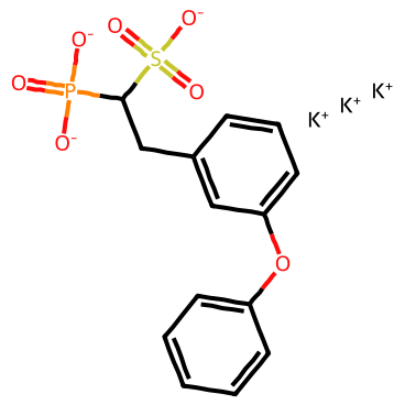 O=P([O-])([O-])C(Cc1cccc(Oc2ccccc2)c1)S(=O)(=O)[O-].[K+].[K+].[K+]